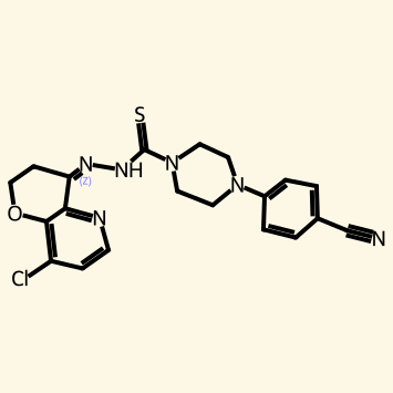 N#Cc1ccc(N2CCN(C(=S)N/N=C3/CCOc4c(Cl)ccnc43)CC2)cc1